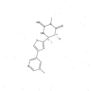 Cc1cncc(-c2csc([C@@]3(C)NC(=N)N(C)C(=O)[C@@H]3F)c2)c1